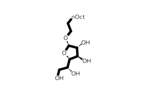 CCCCCCCCCCO[C@H]1O[C@@H]([C@H](O)CO)[C@H](O)[C@H]1O